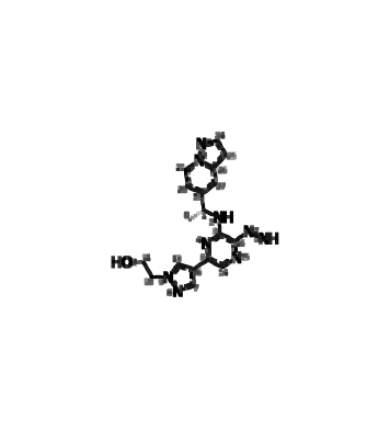 C[C@@H](Nc1nc(-c2cnn(CCO)c2)cnc1N=N)c1ccn2nccc2c1